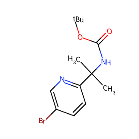 CC(C)(C)OC(=O)NC(C)(C)c1ccc(Br)cn1